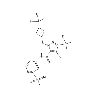 Cc1c(C(C)(F)F)nn(CC2CC(C(F)(F)F)C2)c1C(=O)Nc1ccnc(S(C)(=N)=O)c1